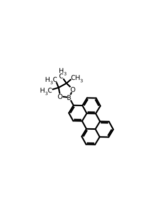 CC1(C)OB(c2ccc3c4c(cccc24)C2=CC=CC4C=CC=C3C24)OC1(C)C